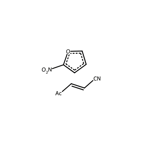 CC(=O)C=CC#N.O=[N+]([O-])c1ccco1